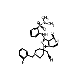 CN(C)S(=O)(=O)c1ccccc1Nc1nn(C2(CC#N)CCN(Cc3ccccc3F)CC2)c2cc[nH]c(=O)c12